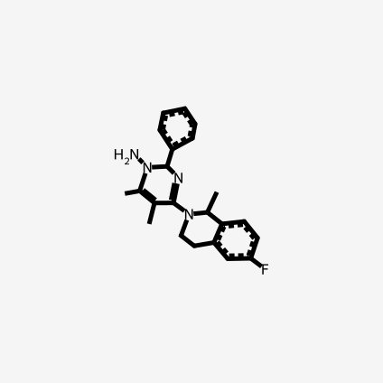 CC1=C(C)N(N)C(c2ccccc2)N=C1N1CCc2cc(F)ccc2C1C